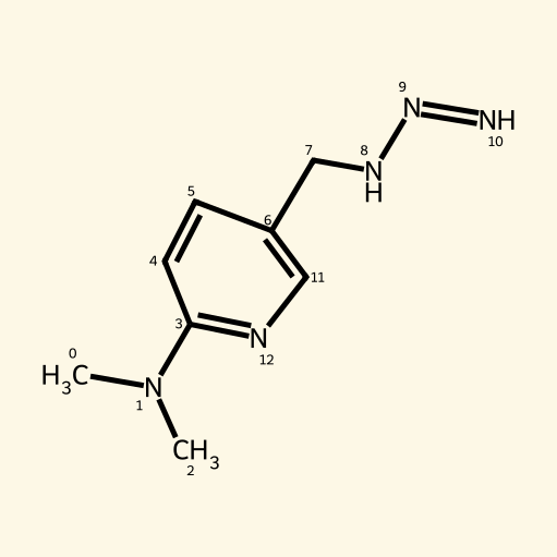 CN(C)c1ccc(CNN=N)cn1